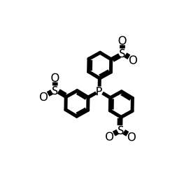 O=S(=O)=C1C=C(P(C2=CC(=S(=O)=O)CC=C2)C2=CC(=S(=O)=O)CC=C2)C=CC1